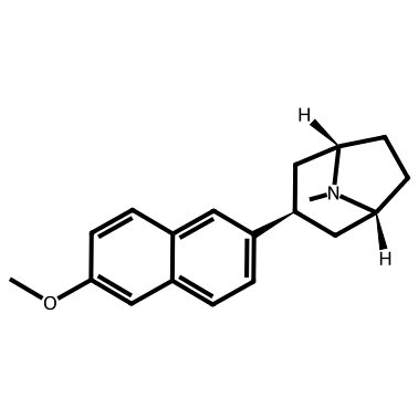 COc1ccc2cc([C@@H]3C[C@H]4CC[C@@H](C3)N4C)ccc2c1